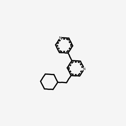 [CH](c1cncc(-c2ccncc2)c1)C1CCCCC1